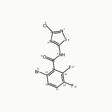 O=C(Nc1nc(Cl)ns1)c1c(Br)ccc(F)c1F